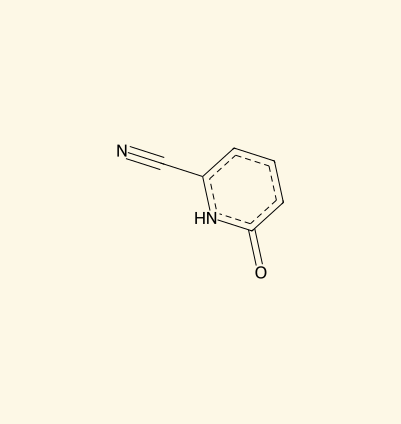 N#Cc1cccc(=O)[nH]1